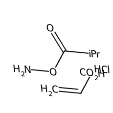 C=CC(=O)O.CC(C)C(=O)ON.Cl